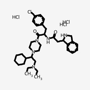 CCN(CC)CC(C1CCCCC1)N1CCN(C(=O)C(Cc2ccc(Cl)cc2)NC(=O)CC2NCc3ccccc32)CC1.Cl.Cl.Cl